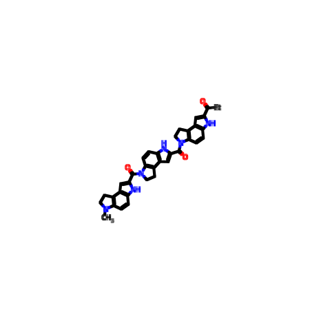 CCC(=O)c1cc2c3c(ccc2[nH]1)N(C(=O)c1cc2c4c(ccc2[nH]1)N(C(=O)c1cc2c5c(ccc2[nH]1)N(C)CC5)CC4)CC3